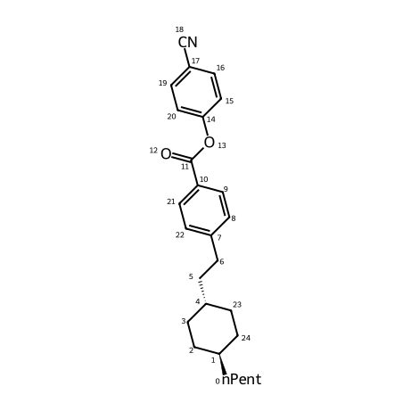 CCCCC[C@H]1CC[C@H](CCc2ccc(C(=O)Oc3ccc(C#N)cc3)cc2)CC1